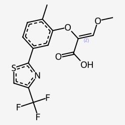 CO/C=C(\Oc1cc(-c2nc(C(F)(F)F)cs2)ccc1C)C(=O)O